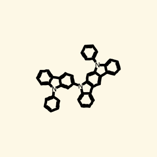 c1ccc(-n2c3ccccc3c3ccc(-n4c5ccccc5c5cc6c7ccccc7n(-c7ccccc7)c6cc54)cc32)cc1